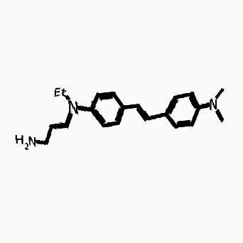 CCN(CCCN)c1ccc(C=Cc2ccc(N(C)C)cc2)cc1